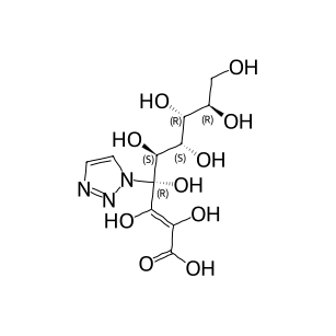 O=C(O)C(O)=C(O)[C@](O)([C@@H](O)[C@@H](O)[C@H](O)[C@H](O)CO)n1ccnn1